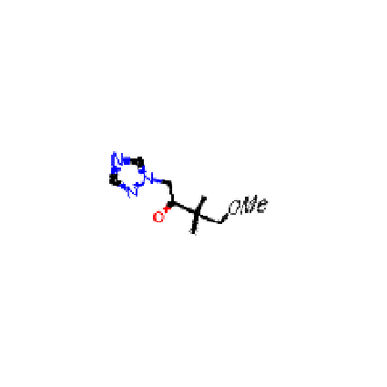 COCC(C)(C)C(=O)Cn1cncn1